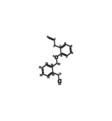 C=CCc1ccccc1OCc1ccccc1CCl